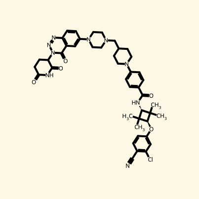 CC1(C)[C@H](NC(=O)c2ccc(N3CCC(CN4CCN(c5ccc6nnn(C7CCC(=O)NC7=O)c(=O)c6c5)CC4)CC3)cc2)C(C)(C)[C@H]1Oc1ccc(C#N)c(Cl)c1